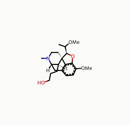 CC[C@]1(CCCO)[C@@H]2Cc3ccc(OC)c4c3[C@]1(CCN2C)[C@@H](C(C)OC)O4